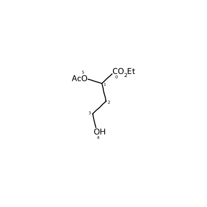 CCOC(=O)C(CCO)OC(C)=O